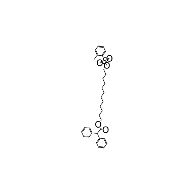 Cc1ccccc1S(=O)(=O)OCCCCCCCCCCCCOC(=O)C(c1ccccc1)c1ccccc1